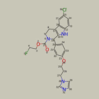 O=C(OCCF)N1CCc2c([nH]c3ccc(Cl)cc23)C1c1ccc(OCCCn2ccnc2)cc1